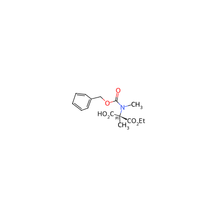 CCOC(=O)[C@@](C)(C(=O)O)N(C)C(=O)OCc1ccccc1